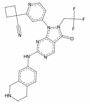 N#CC1(c2cc(-n3c4nc(Nc5ccc6c(c5)CNCC6)ncc4c(=O)n3CC(F)(F)F)ccn2)CCC1